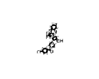 O=C(c1ccc(Cl)cc1)N1CCN(C2CN(c3nc4ccccc4nc3C(F)(F)F)CC2O)CC1